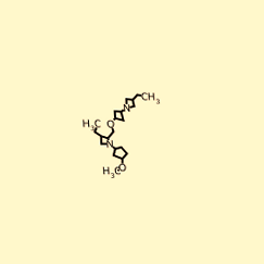 CCC1CN(C2CC(OCC3C(CC)CN3C3CCC(OC)C3)C2)C1